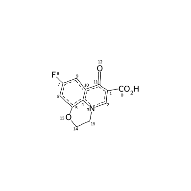 O=C(O)c1cn2c3c(cc(F)cc3c1=O)OCC2